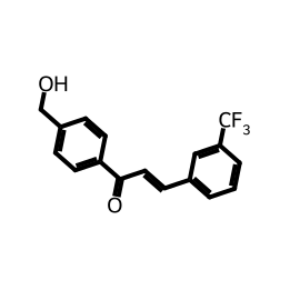 O=C(C=Cc1cccc(C(F)(F)F)c1)c1ccc(CO)cc1